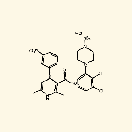 CCCCN1CCN(c2cccc(Cl)c2Cl)CC1.COC(=O)C1=C(C)NC(C)=CC1c1cccc([N+](=O)[O-])c1.Cl